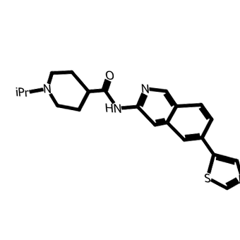 CC(C)N1CCC(C(=O)Nc2cc3cc(-c4cncs4)ccc3cn2)CC1